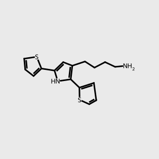 NCCCCc1cc(-c2cccs2)[nH]c1-c1cccs1